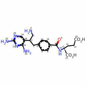 NCC(Cc1ccc(C(=O)N[C@@H](CCC(=O)O)C(=O)O)cc1)c1cnc(N)nc1N